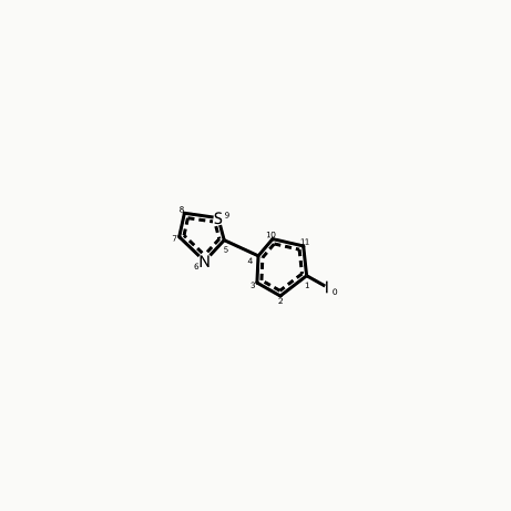 Ic1ccc(-c2nccs2)cc1